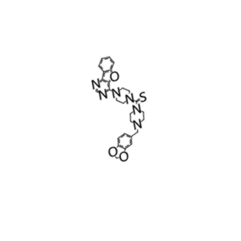 S=C(N1CCN(Cc2ccc3c(c2)OCO3)CC1)N1CCN(c2ncnc3c2oc2ccccc23)CC1